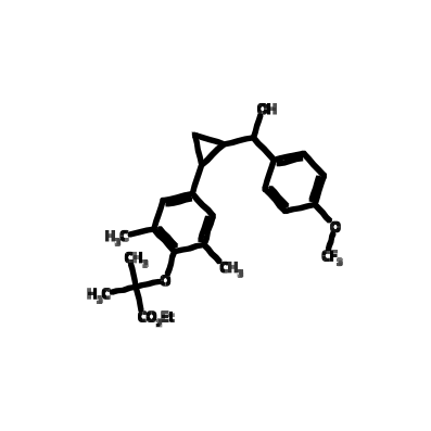 CCOC(=O)C(C)(C)Oc1c(C)cc(C2CC2C(O)c2ccc(OC(F)(F)F)cc2)cc1C